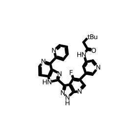 CC(C)(C)CC(=O)Nc1cncc(-c2cnc3[nH]nc(-c4nc5c(-c6ccccn6)nccc5[nH]4)c3c2F)c1